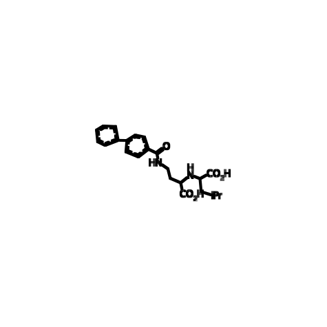 CC(C)CC(NC(CCNC(=O)c1ccc(-c2ccccc2)cc1)C(=O)O)C(=O)O